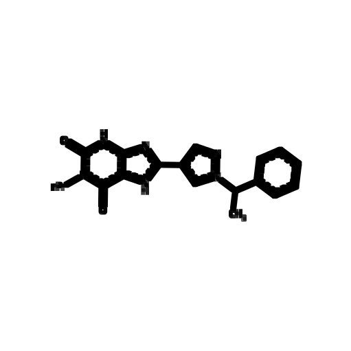 CCCn1c(=O)[nH]c2nc(-c3cnn(C(C)c4ccccc4)c3)[nH]c2c1=O